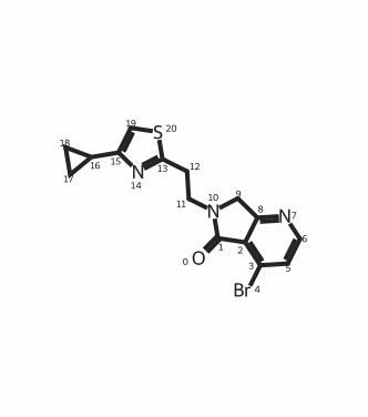 O=C1c2c(Br)ccnc2CN1CCc1nc(C2CC2)cs1